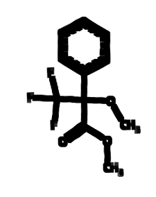 COC(=O)C(OC)(c1ccccc1)C(F)(F)F